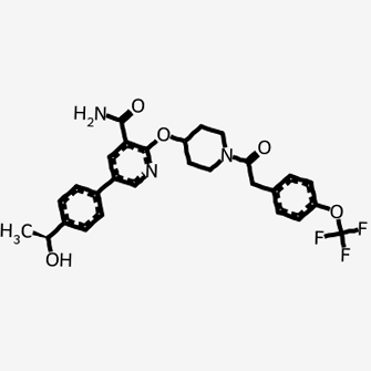 C[C@H](O)c1ccc(-c2cnc(OC3CCN(C(=O)Cc4ccc(OC(F)(F)F)cc4)CC3)c(C(N)=O)c2)cc1